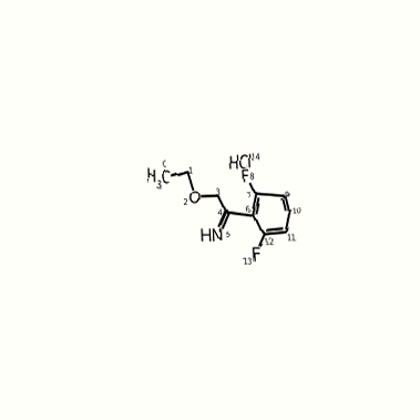 CCOCC(=N)c1c(F)cccc1F.Cl